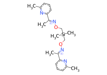 C/C(=N\OC[Si](C)(C)CO/N=C(\C)c1cccc(C)n1)c1cccc(C)n1